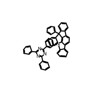 c1ccc(-c2nc(-c3ccccc3)nc(-c3cccc(-n4c5ccccc5c5ccc6c(c54)C(c4ccccc4)(c4ccccc4)c4ccccc4-6)c3)n2)cc1